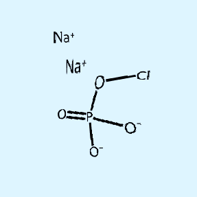 O=P([O-])([O-])OCl.[Na+].[Na+]